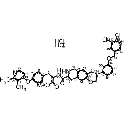 COC(=O)C(Cc1ccc(Oc2ccnc(C)c2C)cc1)NC(=O)[C@@H]1Cc2cc3c(cc2CN1)O[C@@H](c1cccc(OCc2ccc(Cl)c(Cl)c2)c1)CO3.Cl.Cl